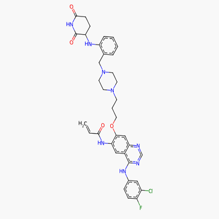 C=CC(=O)Nc1cc2c(Nc3ccc(F)c(Cl)c3)ncnc2cc1OCCCN1CCN(Cc2ccccc2NC2CCC(=O)NC2=O)CC1